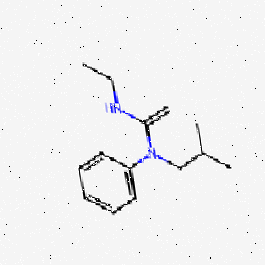 C=C(NCC)N(CC(C)C)c1ccccc1